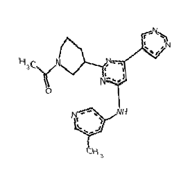 CC(=O)N1CCCC(c2nc(Nc3cncc(C)c3)cc(-c3cncnc3)n2)C1